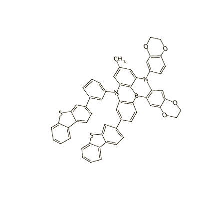 Cc1cc2c3c(c1)N(c1ccc4c(c1)OCCO4)c1cc4c(cc1B3c1ccc(-c3ccc5c(c3)sc3ccccc35)cc1N2c1cccc(-c2ccc3c(c2)sc2ccccc23)c1)OCCO4